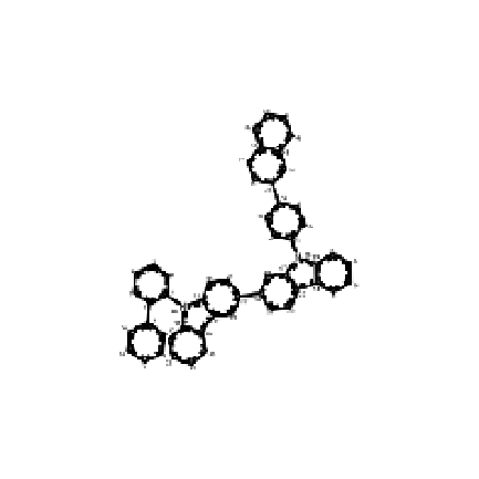 c1ccc(-c2ccccc2-n2c3ccccc3c3cc(-c4ccc5c6ccccc6n(-c6ccc(-c7ccc8ccccc8c7)cc6)c5c4)ccc32)cc1